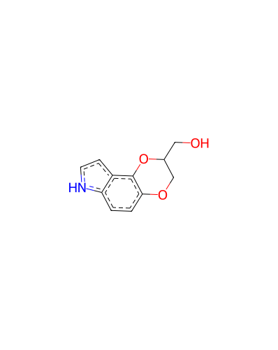 OCC1COc2ccc3[nH]ccc3c2O1